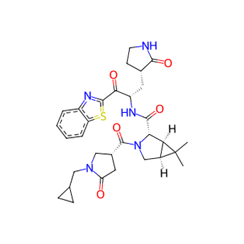 CC1(C)[C@@H]2[C@@H](C(=O)N[C@@H](C[C@@H]3CCNC3=O)C(=O)c3nc4ccccc4s3)N(C(=O)[C@@H]3CC(=O)N(CC4CC4)C3)C[C@@H]21